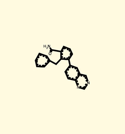 NC(=O)c1cccc(-c2ccc3ncncc3c2)c1Cc1ccccc1